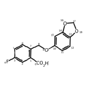 O=C(O)c1cc(F)ccc1COc1ccc2c(c1)OCO2